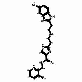 N#Cc1ccc2[nH]c(CCNCCc3nc(C(=O)NCc4ncccc4F)co3)nc2c1